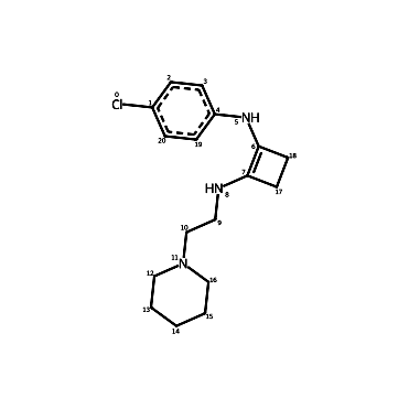 Clc1ccc(NC2=C(NCCN3CCCCC3)CC2)cc1